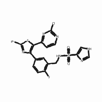 CC(C)c1nc(-c2ccc(F)c(CNS(=O)(=O)c3c[nH]cn3)c2)c(-c2ccnc(Cl)n2)s1